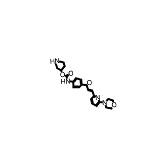 O=C(Nc1ccc(C(=O)/C=C/c2cccc(N3CCOCC3)n2)cc1)OC1CCNCC1